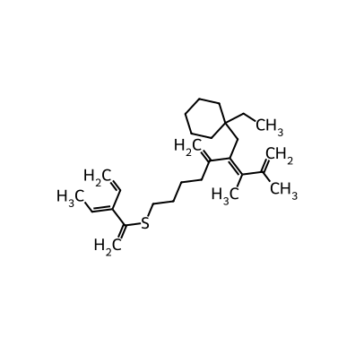 C=C/C(=C\C)C(=C)SCCCCC(=C)/C(CC1(CC)CCCCC1)=C(\C)C(=C)C